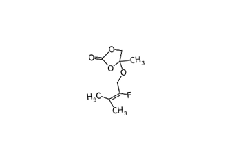 CC(C)=C(F)COC1(C)COC(=O)O1